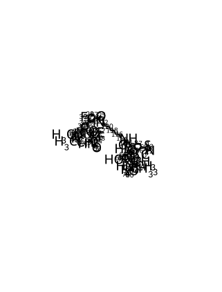 Cc1ncsc1-c1ccc(C(CC(=O)NCCCCCCCCNC(=O)c2ccc(F)c(-c3ccc(N4C[C@@H](C)N(C)[C@@H](C)C4)c(NC(=O)c4c[nH]c(=O)cc4C(F)(F)F)c3)c2)NC(=O)[C@@H]2C[C@@H](O)CN2C(=O)C(NC(=O)C2(F)CC2)C(C)(C)C)cc1